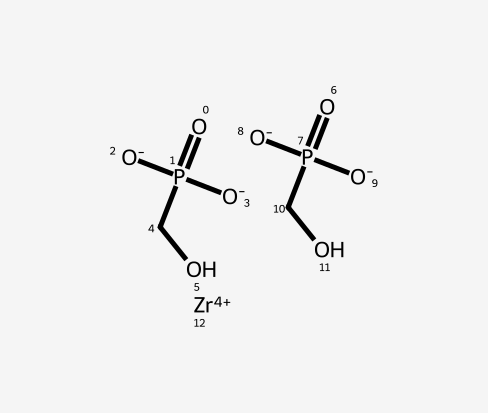 O=P([O-])([O-])CO.O=P([O-])([O-])CO.[Zr+4]